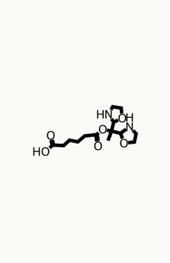 CC(OC(=O)CCCCC(=O)O)(C1NCCO1)C1NCCO1